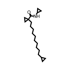 O=C(NC1CC1)C1(CCCCCCCCCCC2CC2)CC1